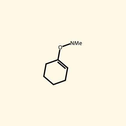 CNOC1=CCCCC1